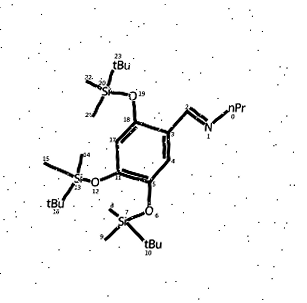 CCCN=Cc1cc(O[Si](C)(C)C(C)(C)C)c(O[Si](C)(C)C(C)(C)C)cc1O[Si](C)(C)C(C)(C)C